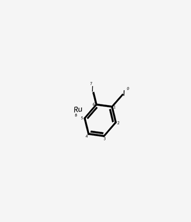 Ic1ccccc1I.[Ru]